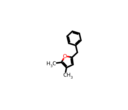 Cc1cc(Cc2ccccc2)oc1C